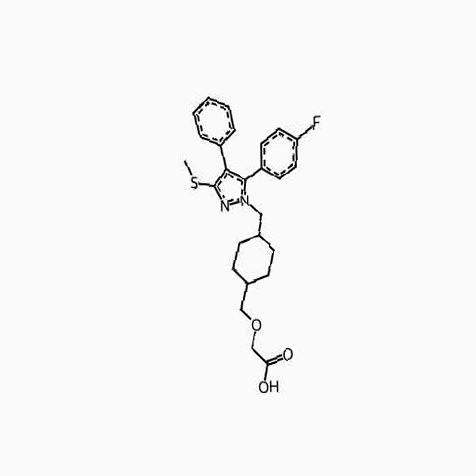 CSc1nn(CC2CCC(COCC(=O)O)CC2)c(-c2ccc(F)cc2)c1-c1ccccc1